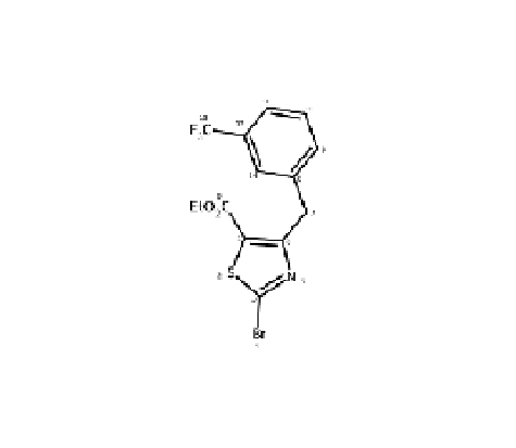 CCOC(=O)c1sc(Br)nc1Cc1cccc(C(F)(F)F)c1